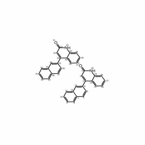 O=c1cc(-c2ccc3ccccc3c2)c2ccccc2[nH]1.O=c1cc(-c2ccc3ccccc3c2)c2ccccc2[nH]1